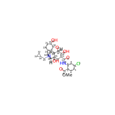 COC(=O)c1ccc(Cl)cc1NC(=O)C1=C(O)[C@@H]2Oc3c(O)ccc4c3[C@@]23CCN(CC2CC2)[C@H](C4)[C@]3(O)C1